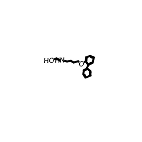 OCCNCCCCOc1ccccc1-c1ccccc1